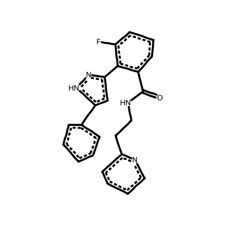 O=C(NCCc1ccccn1)c1cccc(F)c1-c1cc(-c2ccccc2)[nH]n1